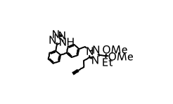 C#CCCc1nc(C(CC)(OC)OC)nn1Cc1ccc(-c2ccccc2-c2nnn[nH]2)cc1